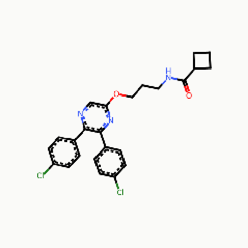 O=C(NCCCOc1cnc(-c2ccc(Cl)cc2)c(-c2ccc(Cl)cc2)n1)C1CCC1